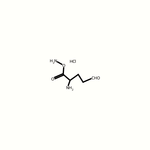 Cl.NOC(=O)C(N)CCC=O